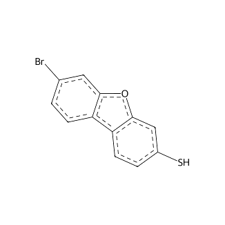 Sc1ccc2c(c1)oc1cc(Br)ccc12